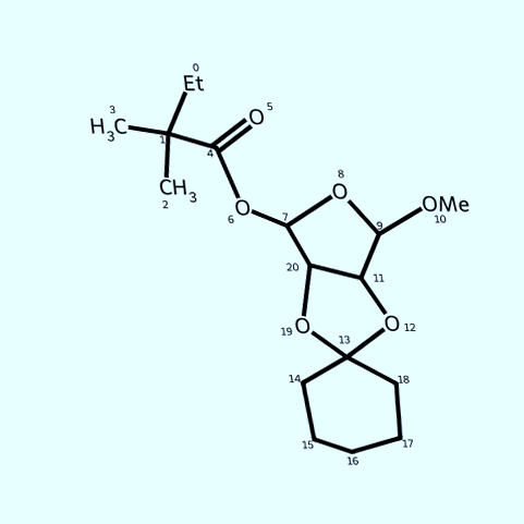 CCC(C)(C)C(=O)OC1OC(OC)C2OC3(CCCCC3)OC12